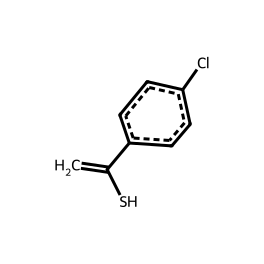 C=C(S)c1ccc(Cl)cc1